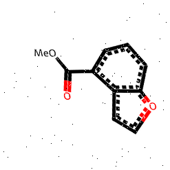 COC(=O)c1[c]ccc2occc12